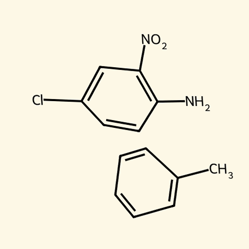 Cc1ccccc1.Nc1ccc(Cl)cc1[N+](=O)[O-]